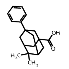 CC1(C)C2CC3(C(=O)O)CC1CC(c1ccccc1)(C2)C3